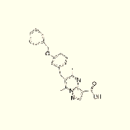 Cc1nc2c(C(=O)O)cnn2c(C)c1Cc1cccc(OCc2ccccc2)c1